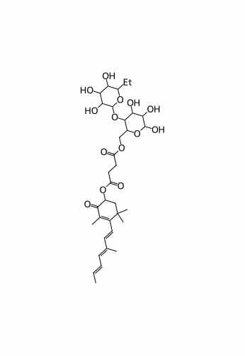 C/C=C/C=C(C)/C=C/C1=C(C)C(=O)C(OC(=O)CCC(=O)OCC2OC(O)C(O)C(O)C2OC2OC(CC)C(O)C(O)C2O)CC1(C)C